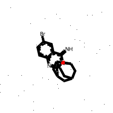 N=c1c2cc(Br)ccc2nc2n1C1CC3CC(CC2C3)C1